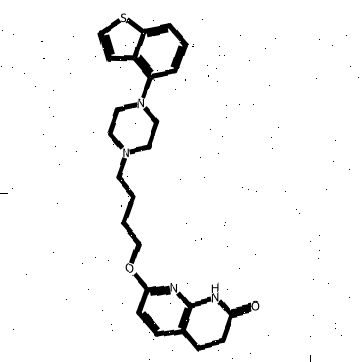 O=C1CCc2ccc(OCCCCN3CCN(c4cccc5sccc45)CC3)nc2N1